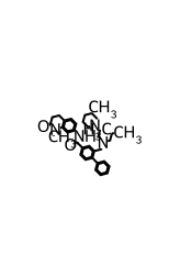 CC(C)CN(CCN1CCCC(C)C1)Cc1cc(C(=O)Nc2ccc3c(c2)N(C)C(=O)CC3)ccc1-c1ccccc1